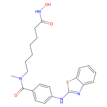 CN(CCCCCCC(=O)NO)C(=O)c1ccc(Nc2nc3ccccc3s2)cc1